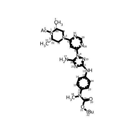 CC(=O)N1[C@H](C)CN(c2cc(-n3nc(Nc4ccc(N(C)C(=O)OC(C)(C)C)cc4)nc3N)ncn2)C[C@@H]1C